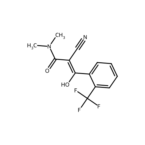 CN(C)C(=O)/C(C#N)=C(\O)c1ccccc1C(F)(F)F